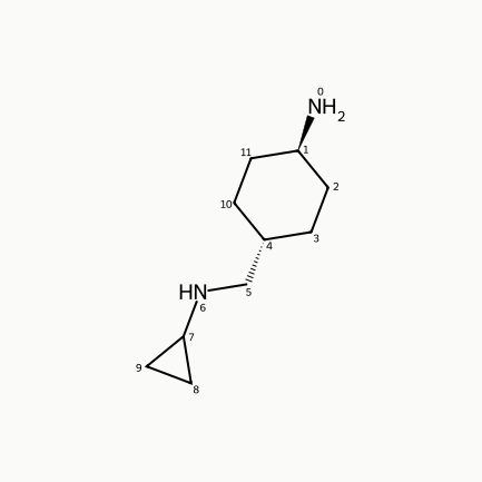 N[C@H]1CC[C@H](CNC2CC2)CC1